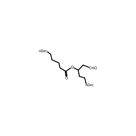 CCCCCCCCCCCCCCC(=O)OC(CC=O)CCCCCCCCCCCC